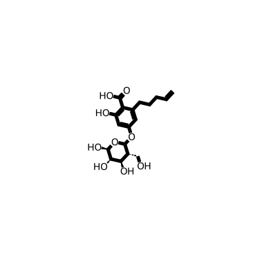 C=CCCCc1cc(OC2O[C@H](O)[C@@H](O)[C@H](O)[C@H]2CO)cc(O)c1C(=O)O